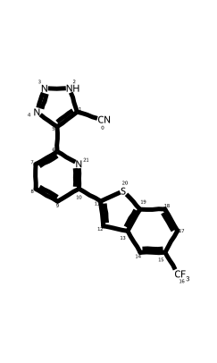 N#Cc1[nH]nnc1-c1cccc(-c2cc3cc(C(F)(F)F)ccc3s2)n1